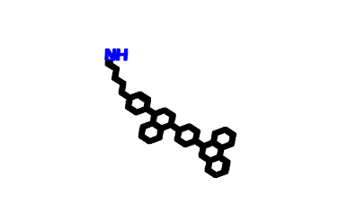 N=CCCCCC1C=CC(C2CCC(C3CCC(C4CC5CCC=CC5C5CCCCC45)CC3)C3CCCCC23)CC1